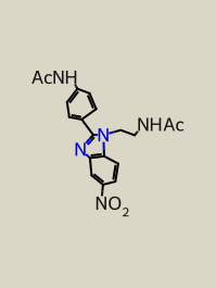 CC(=O)NCCn1c(-c2ccc(NC(C)=O)cc2)nc2cc([N+](=O)[O-])ccc21